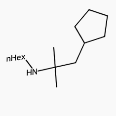 CCCCCCNC(C)(C)CC1CCCC1